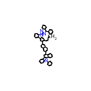 C=C/C=C\c1cc2c(cc1C1=CC3CC=C(c4cc5c6ccccc6n(-c6ccccc6)c5c5ccccc45)C=C3C=C1)c1ccccc1n2-c1nc(-c2ccccc2)c2ccccc2n1